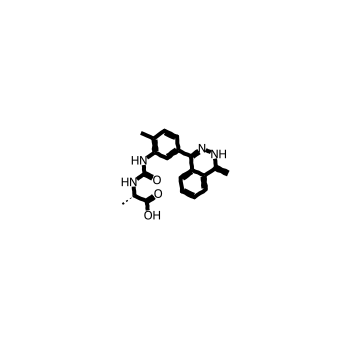 C=C1NN=C(c2ccc(C)c(NC(=O)N[C@@H](C)C(=O)O)c2)c2ccccc21